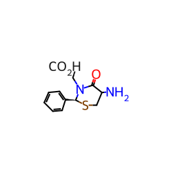 NC1CS[C@@H](c2ccccc2)N(CC(=O)O)C1=O